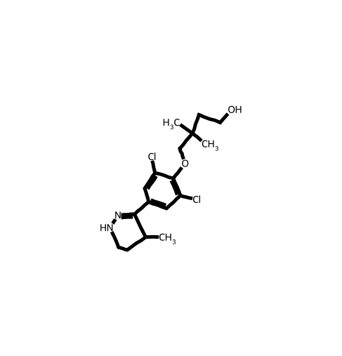 CC1CCNN=C1c1cc(Cl)c(OCC(C)(C)CCO)c(Cl)c1